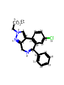 CCOC(=O)Cn1cc2c(n1)CN=C(c1ccccc1)c1cc(Cl)ccc1-2